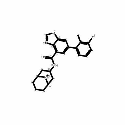 Cc1c(Cl)cccc1-c1cc(C(=O)NC2CC3CCCC(C2)N3C)c2ncoc2c1